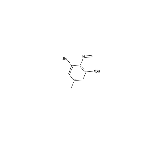 C=Nc1c(C(C)(C)C)cc(C)cc1C(C)(C)C